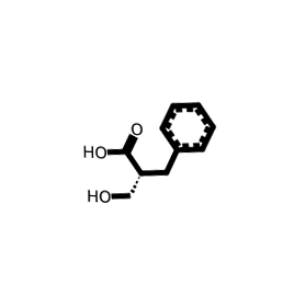 O=C(O)[C@@H](CO)Cc1ccccc1